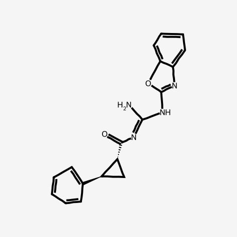 N/C(=N\C(=O)[C@@H]1C[C@H]1c1ccccc1)Nc1nc2ccccc2o1